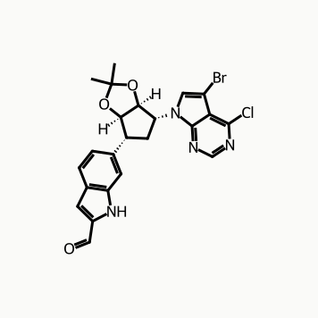 CC1(C)O[C@@H]2[C@H](O1)[C@@H](c1ccc3cc(C=O)[nH]c3c1)C[C@H]2n1cc(Br)c2c(Cl)ncnc21